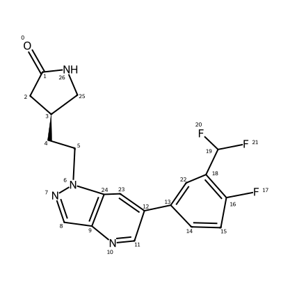 O=C1C[C@H](CCn2ncc3ncc(-c4ccc(F)c(C(F)F)c4)cc32)CN1